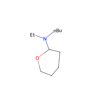 CCCCN(CC)[C]1CCCCO1